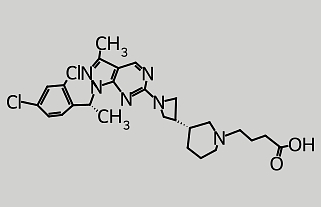 Cc1nn([C@H](C)c2ccc(Cl)cc2Cl)c2nc(N3CC([C@H]4CCCN(CCCC(=O)O)C4)C3)ncc12